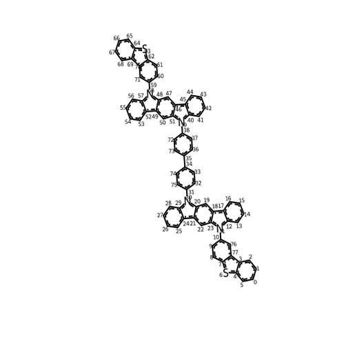 c1ccc2c(c1)sc1ccc(-n3c4ccccc4c4cc5c(cc43)c3ccccc3n5-c3ccc(-c4ccc(-n5c6ccccc6c6cc7c(cc65)c5ccccc5n7-c5ccc6sc7ccccc7c6c5)cc4)cc3)cc12